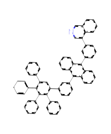 C1=CC(c2c(-c3ccccc3)cc(-c3cccc(-c4c5ccccc5c(-c5cccc(-c6cncc7ccccc67)c5)c5ccccc45)c3)c(-c3ccccc3)c2-c2ccccc2)=CCC1